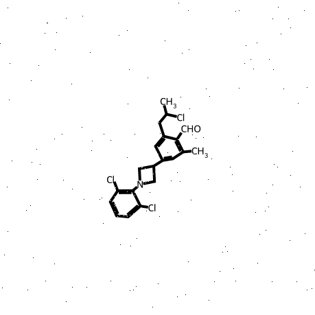 Cc1cc(C2CN(c3c(Cl)cccc3Cl)C2)cc(CC(C)Cl)c1C=O